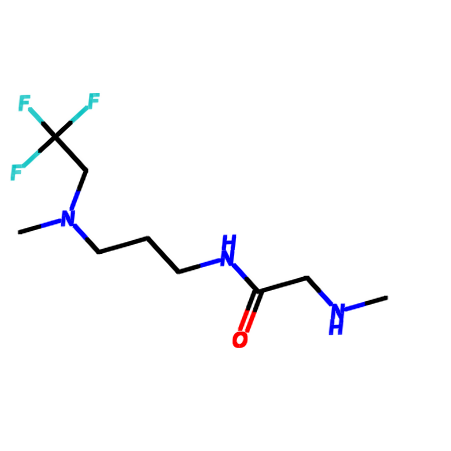 CNCC(=O)NCCCN(C)CC(F)(F)F